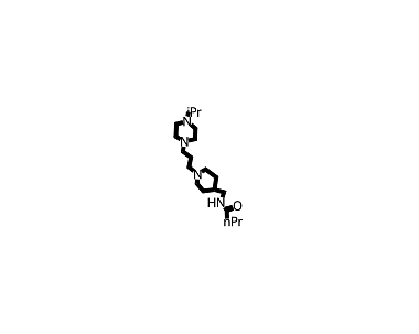 CCCC(=O)NCC1CCN(CCCN2CCN(C(C)C)CC2)CC1